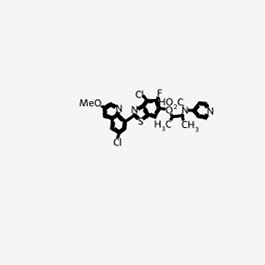 COc1cnc2c(-c3nc4c(Cl)c(F)c(OC(C)C(C)N(C(=O)O)c5ccncc5)cc4s3)cc(Cl)cc2c1